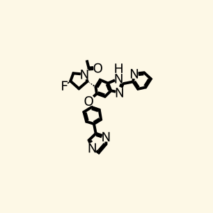 CC(=O)N1C[C@@H](F)C[C@H]1c1cc2[nH]c(-c3ccccn3)nc2cc1Oc1ccc(-c2cnccn2)cc1